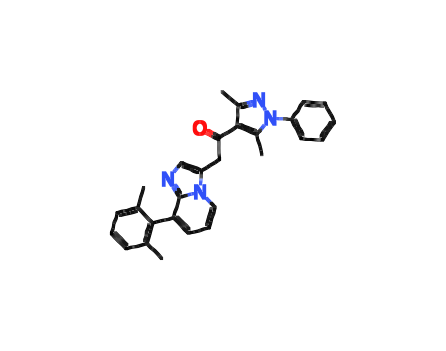 Cc1cccc(C)c1-c1cccn2c(CC(=O)c3c(C)nn(-c4ccccc4)c3C)cnc12